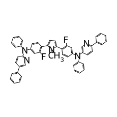 Cn1c(-c2ccc(N(c3ccccc3)c3ccc(-c4ccccc4)nc3)cc2F)ccc1-c1ccc(N(c2ccccc2)c2ccc(-c3ccccc3)cn2)cc1F